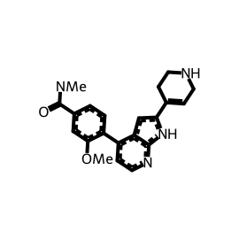 CNC(=O)c1ccc(-c2ccnc3[nH]c(C4=CCNCC4)cc23)c(OC)c1